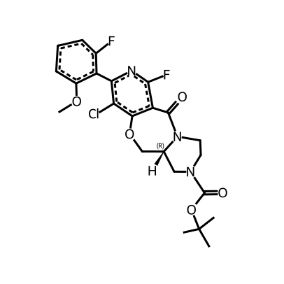 COc1cccc(F)c1-c1nc(F)c2c(c1Cl)OC[C@H]1CN(C(=O)OC(C)(C)C)CCN1C2=O